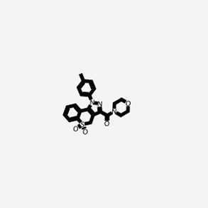 Cc1ccc(-n2nc(C(=O)N3CCOCC3)c3c2-c2ccccc2S(=O)(=O)C3)cc1